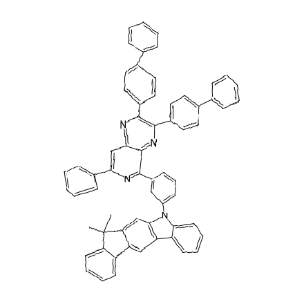 CC1(C)c2ccccc2-c2cc3c4ccccc4n(-c4cccc(-c5nc(-c6ccccc6)cc6nc(-c7ccc(-c8ccccc8)cc7)c(-c7ccc(-c8ccccc8)cc7)nc56)c4)c3cc21